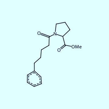 COC(=O)C1CCCN1C(=O)CCCCc1ccccc1